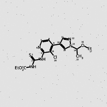 CCOC(=O)NC(=S)Nc1nccc(-c2cnn(C(C)OCC)c2)c1Cl